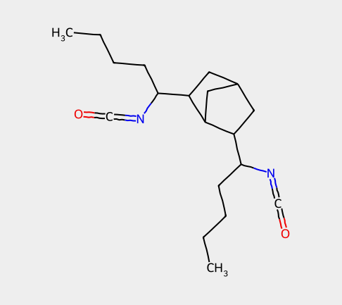 CCCCC(N=C=O)C1CC2CC(C(CCCC)N=C=O)C1C2